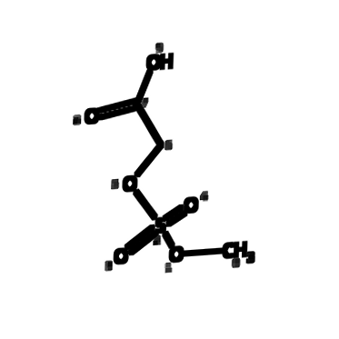 COS(=O)(=O)OCC(=O)O